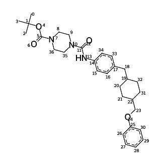 CC(C)(C)OC(=O)N1CCN(C(=O)Nc2ccc(CC3CCC(COc4ccccc4)CC3)cc2)CC1